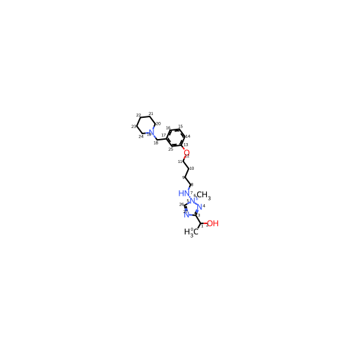 CC(O)C1=N[N+](C)(NCCCCOc2cccc(CN3CCCCC3)c2)C=N1